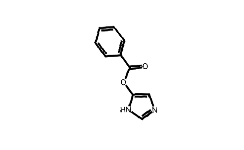 O=C(Oc1cnc[nH]1)c1ccccc1